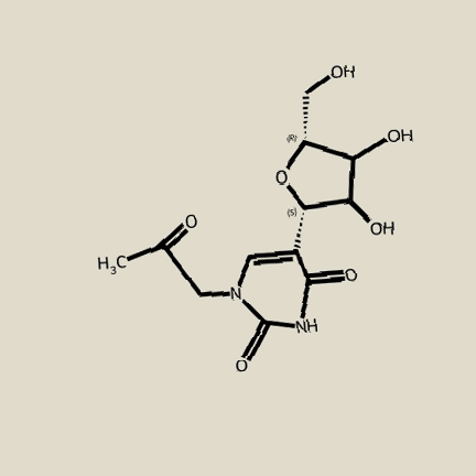 CC(=O)Cn1cc([C@@H]2O[C@H](CO)C(O)C2O)c(=O)[nH]c1=O